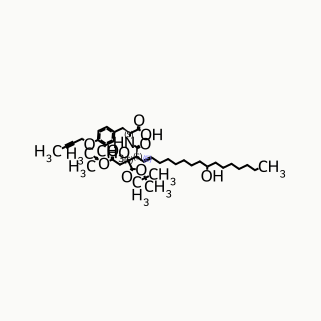 CC#CCOc1ccc(C[C@H](NC(=O)[C@@H](/C=C/CCCCCCC(O)CCCCCCC)[C@@](O)(CC(=O)OC(C)(C)C)C(=O)OC(C)(C)C)C(=O)O)cc1